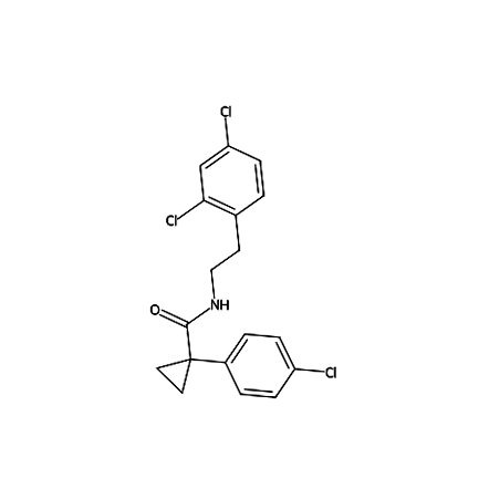 O=C(NCCc1ccc(Cl)cc1Cl)C1(c2ccc(Cl)cc2)CC1